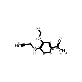 C#CCNC1=C(OCF)C=C(C(C)=O)CC1